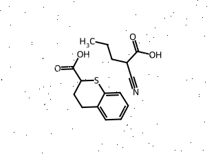 CCCC(C#N)C(=O)O.O=C(O)C1CCc2ccccc2S1